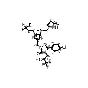 O=C1CC[C@H](CNc2nc(Cn3nc(-c4ccc(Cl)cc4)n(CC(O)C(F)(F)F)c3=O)nn2CCC(F)(F)F)N1